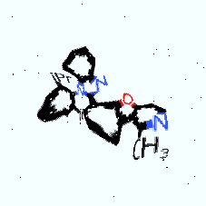 Cc1nccc2oc3c(-c4nc5ccccc5n4-c4c(C(C)C)cccc4C(C)C)cccc3c12